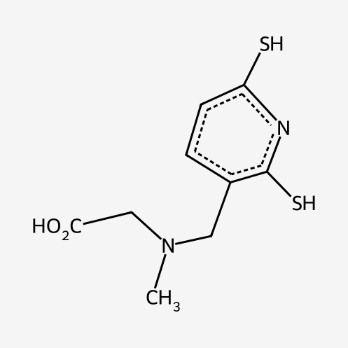 CN(CC(=O)O)Cc1ccc(S)nc1S